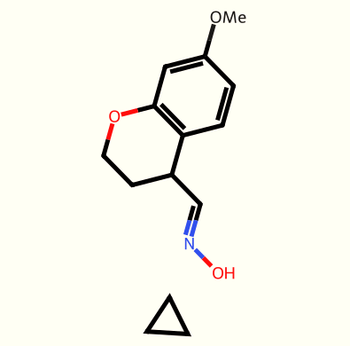 C1CC1.COc1ccc2c(c1)OCCC2C=NO